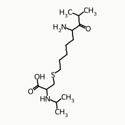 CC(C)NC(CSCCCCCC(N)C(=O)C(C)C)C(=O)O